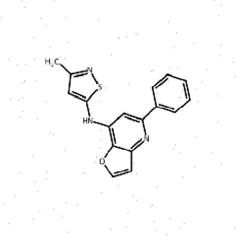 Cc1cc(Nc2cc(-c3ccccc3)nc3ccoc23)sn1